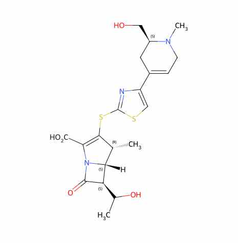 CC(O)[C@H]1C(=O)N2C(C(=O)O)=C(Sc3nc(C4=CCN(C)[C@H](CO)C4)cs3)[C@H](C)[C@H]12